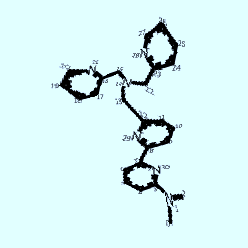 CN(C)c1cccc(-c2cccc(CN(Cc3ccccn3)Cc3ccccn3)n2)n1